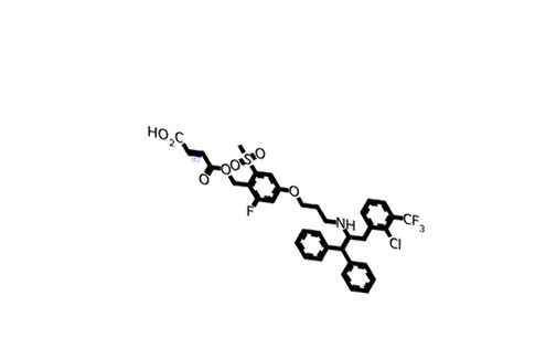 CS(=O)(=O)c1cc(OCCCNC(Cc2cccc(C(F)(F)F)c2Cl)C(c2ccccc2)c2ccccc2)cc(F)c1COC(=O)/C=C/C(=O)O